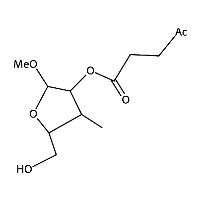 COC1OC(CO)C(C)C1OC(=O)CCC(C)=O